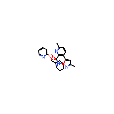 Cc1cc(-c2ccc(C)nc2C(=O)N2C3CCC2C(COc2ccccn2)C3)on1